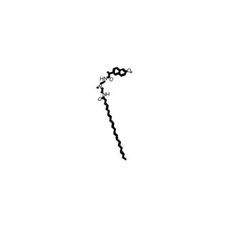 CCC=CCC=CCC=CCC=CCC=CCC=CCCC(=O)NCCN(C)CCNC(=O)C(C)c1ccc2cc(OC)ccc2c1